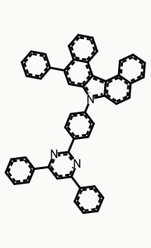 c1ccc(-c2cc(-c3ccccc3)nc(-c3ccc(-n4c5ccc6ccccc6c5c5c6ccccc6c(-c6ccccc6)cc54)cc3)n2)cc1